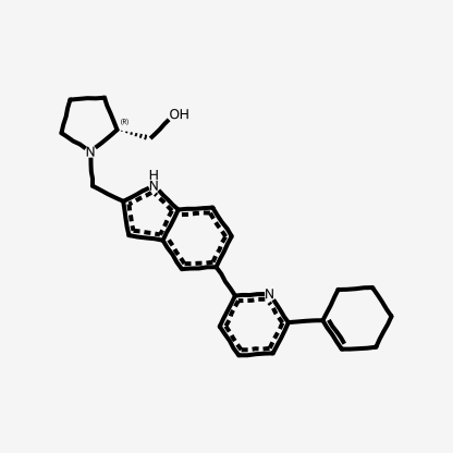 OC[C@H]1CCCN1Cc1cc2cc(-c3cccc(C4=CCCCC4)n3)ccc2[nH]1